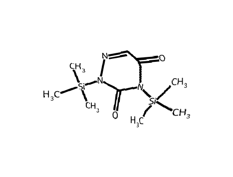 C[Si](C)(C)n1ncc(=O)n([Si](C)(C)C)c1=O